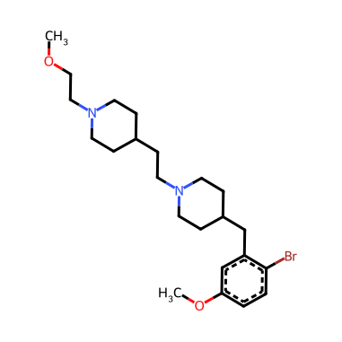 COCCN1CCC(CCN2CCC(Cc3cc(OC)ccc3Br)CC2)CC1